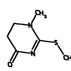 CSC1=NC(=O)CCN1C